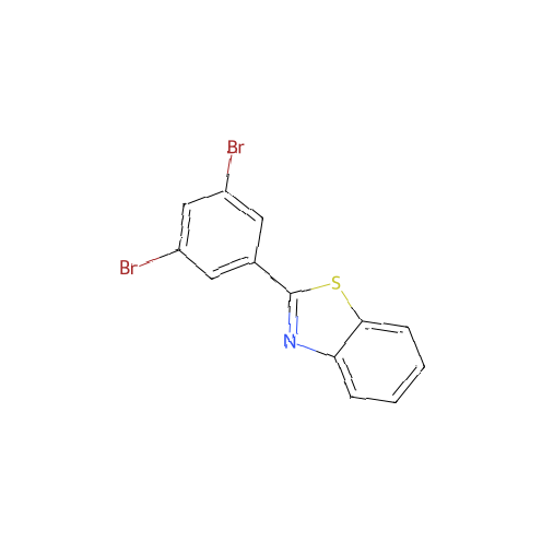 Brc1cc(Br)cc(-c2nc3ccccc3s2)c1